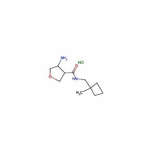 CC1(CNC(=O)C2COCC2N)CCC1.Cl